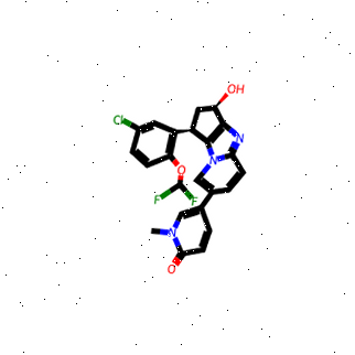 Cn1cc(-c2ccc3nc4c(n3c2)[C@@H](c2cc(Cl)ccc2OC(F)F)C[C@H]4O)ccc1=O